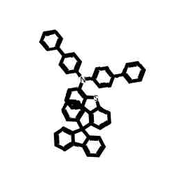 c1ccc(-c2ccc(N(c3ccc(-c4ccccc4)cc3)c3cccc4c3sc3cccc(C5(c6ccccc6)c6ccccc6-c6ccccc65)c34)cc2)cc1